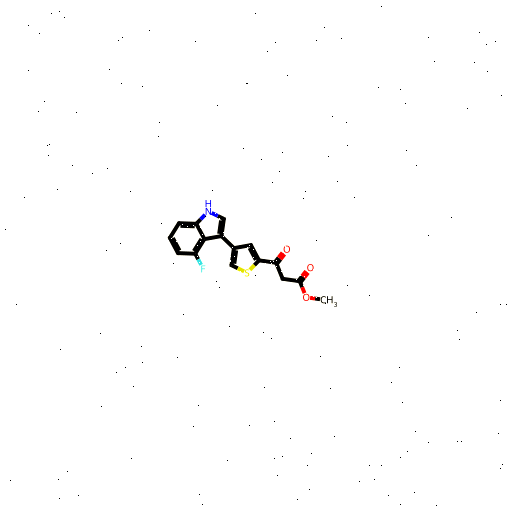 COC(=O)CC(=O)c1cc(-c2c[nH]c3cccc(F)c23)cs1